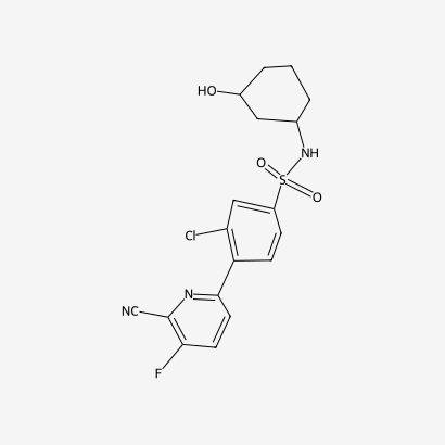 N#Cc1nc(-c2ccc(S(=O)(=O)NC3CCCC(O)C3)cc2Cl)ccc1F